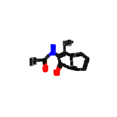 CCCC1=C(NC(=O)CC)C(=O)c2ccccc21